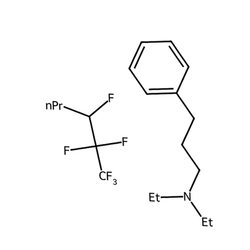 CCCC(F)C(F)(F)C(F)(F)F.CCN(CC)CCCc1ccccc1